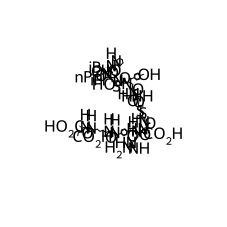 CCCC(=O)OCN(C(=O)[C@@H](NC(=O)[C@H]1CCCCN1C)C(C)CC)[C@H](C[C@@H](O)c1nc(C(=O)N[C@@H](Cc2ccc(O)cc2)C[C@H](C)C(=O)NNC(=O)OCCSSCCNC(=O)[C@H](CC(=O)O)NC(=O)[C@H](CCCNC(=N)N)NC(=O)Cc2ccc(CNC(=O)NCCCCCNC(=O)N[C@@H](CCC(=O)O)C(=O)O)cc2)cs1)C(C)C